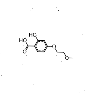 COCCOc1ccc(C(=O)O)c(O)c1